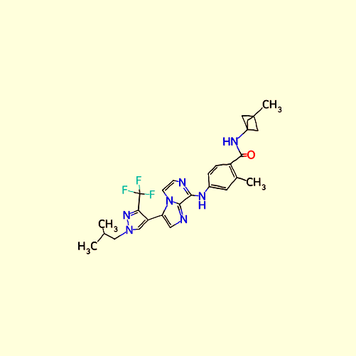 Cc1cc(Nc2nccn3c(-c4cn(CC(C)C)nc4C(F)(F)F)cnc23)ccc1C(=O)NC12CC(C)(C1)C2